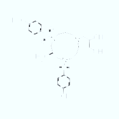 C=C1CN(S(=O)(=O)c2ccc(C)cc2)CCCN(CC(C)CC)CCCN(S(=O)(=O)c2ccc(C)cc2)C1